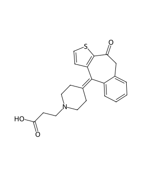 O=C(O)CCN1CCC(=C2c3ccccc3CC(=O)c3sccc32)CC1